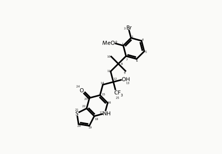 COc1c(Br)cccc1C(C)(C)CC(O)(Cc1c[nH]c2ccsc2c1=O)C(F)(F)F